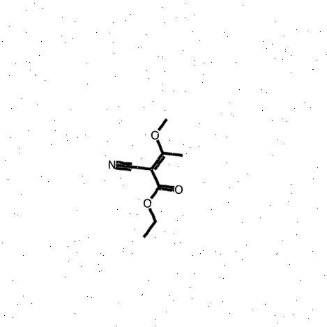 CCOC(=O)/C(C#N)=C(\C)OC